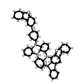 CC12c3ccccc3-c3cc4c(oc5ccccc54)c(c31)N1c3cccc4c3B(c3ccccc3N4c3ccc(-c4ccc5oc6ccccc6c5c4)cc3)c3cccc2c31